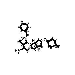 CC(CN1C[C@H]2C[C@H](Oc3ccc(F)cc3)C[C@H]2C1)c1cnn(Cc2ccccc2)c1